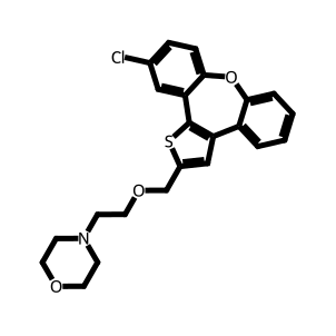 Clc1ccc2c(c1)-c1sc(COCCN3CCOCC3)cc1-c1ccccc1O2